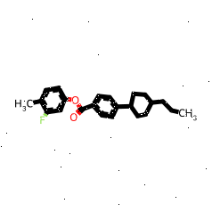 CCCC1CCC(c2ccc(C(=O)Oc3ccc(C)c(F)c3)cc2)CC1